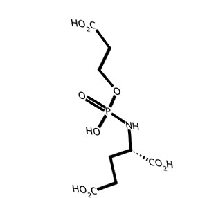 O=C(O)CCOP(=O)(O)N[C@@H](CCC(=O)O)C(=O)O